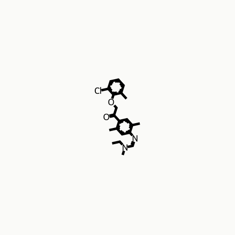 CCN(C)/C=N\c1cc(C)c(C(=O)COc2c(C)cccc2Cl)cc1C